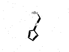 CCCCC=C=C1C=CC=C1